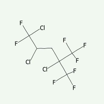 FC(F)(Cl)C(Cl)CC(Cl)(C(F)(F)F)C(F)(F)F